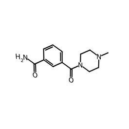 CN1CCN(C(=O)c2cccc(C(N)=O)c2)CC1